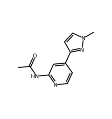 CC(=O)Nc1cc(-c2ccn(C)n2)ccn1